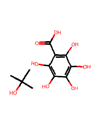 CC(C)(C)O.O=C(O)c1c(O)c(O)c(O)c(O)c1O